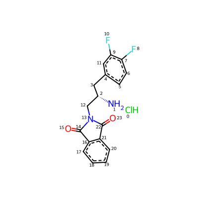 Cl.N[C@@H](Cc1ccc(F)c(F)c1)CN1C(=O)c2ccccc2C1=O